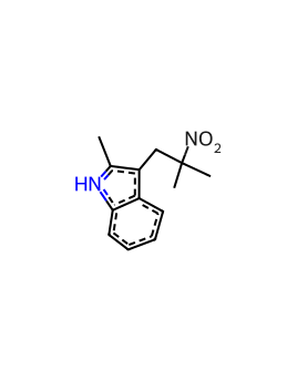 Cc1[nH]c2ccccc2c1CC(C)(C)[N+](=O)[O-]